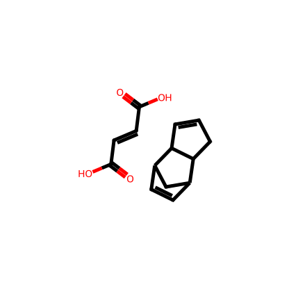 C1=CC2C3C=CC(C3)C2C1.O=C(O)/C=C/C(=O)O